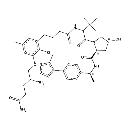 Cc1cc(CCCC(=O)NC(C(=O)N2C[C@H](O)C[C@H]2C(=O)N[C@@H](C)c2ccc(-c3scnc3C)cc2)C(C)(C)C)c(Cl)c(OCC(N)CCC(N)=O)c1